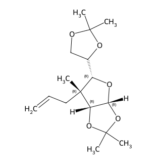 C=CC[C@]1(C)[C@H](C2COC(C)(C)O2)O[C@@H]2OC(C)(C)O[C@@H]21